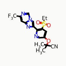 CCS(=O)(=O)c1cc(OC(C)(C)C#N)cnc1-c1cn2cnc(C(F)(F)F)cc2n1